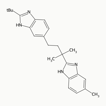 Cc1ccc2[nH]c(C(C)(C)CCc3ccc4nc(C(C)(C)C)[nH]c4c3)nc2c1